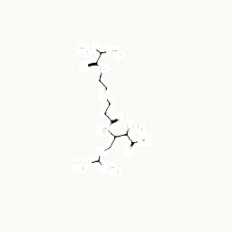 CC(C)SCC(NC(=O)CCOCCOC(=O)C(C)C)C(C)C(=O)O